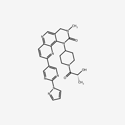 C[C@@H](O)C(=O)N1CCC(N2C(=O)N(C)Cc3cnc4ccc(-c5cnc(-n6cccn6)nc5)nc4c32)CC1